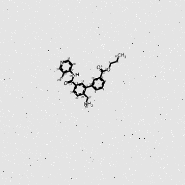 CCCOC(=O)c1cccc(-c2cc(C(=O)Nc3ccncc3F)ccc2CN)c1